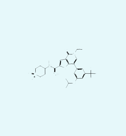 CCn1cc(-c2cc(OC(C)C)cc(C(F)(F)F)c2)c2sc(C(=N)NC3CCS(=O)(=O)CC3)cc2c1=O